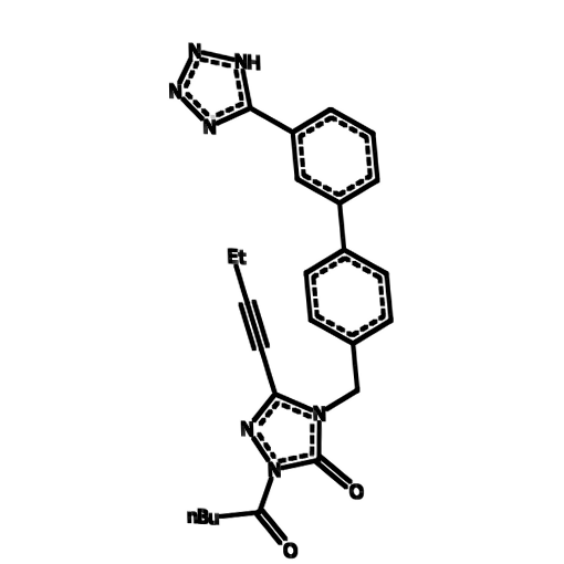 CCC#Cc1nn(C(=O)CCCC)c(=O)n1Cc1ccc(-c2cccc(-c3nnn[nH]3)c2)cc1